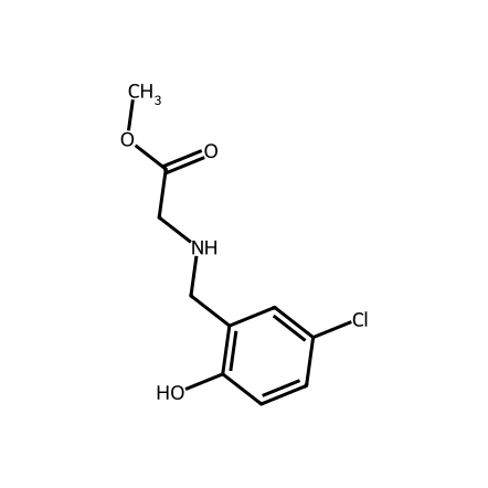 COC(=O)CNCc1cc(Cl)ccc1O